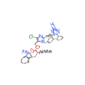 CCCCc1nc(Cl)c(COC(=O)[C@H](Cc2c[nH]c3ccccc23)NC)n1Cc1ccc(-c2ccccc2-c2nn[nH]n2)cc1